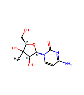 CC1(O)[C@H](O)[C@H](n2ccc(N)nc2=O)O[C@@H]1CO